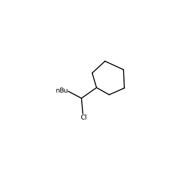 CCCCC(Cl)C1CCCCC1